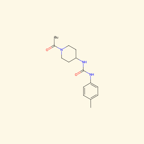 CCC(C)C(=O)N1CCC(NC(=O)Nc2ccc(C)cc2)CC1